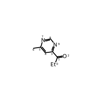 CCC(=O)c1cc(C)ncn1